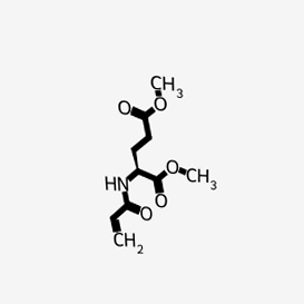 C=CC(=O)N[C@@H](CCC(=O)OC)C(=O)OC